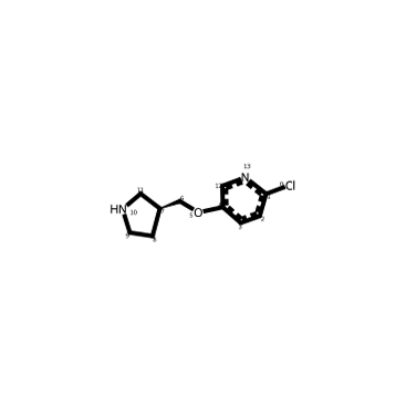 Clc1ccc(OC[C@H]2CCNC2)cn1